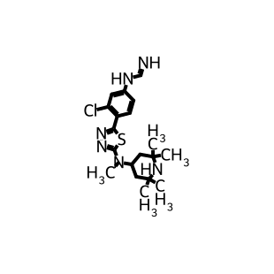 CN(c1nnc(-c2ccc(NC=N)cc2Cl)s1)C1CC(C)(C)NC(C)(C)C1